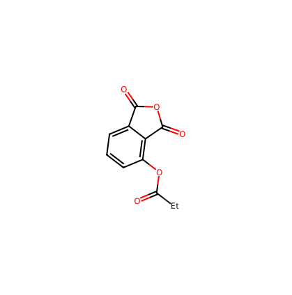 CCC(=O)Oc1cccc2c1C(=O)OC2=O